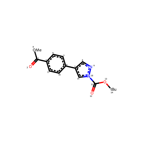 COC(=O)c1ccc(-c2cnn(C(=O)OC(C)(C)C)c2)cc1